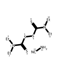 CCN(CC)C(=S)SSC(=S)N(CC)CC.N#CN